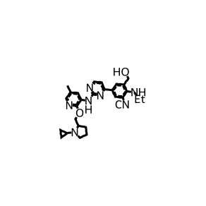 CCNc1c(C#N)cc(-c2ccnc(Nc3cc(C)cnc3OCC3CCCN3C3CC3)n2)cc1CO